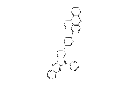 c1ccc(-n2c3cc(-c4ccc(-c5ccc6c7c(cccc57)-c5ccccc5S6)cc4)ccc3c3cc4ccccc4cc32)cc1